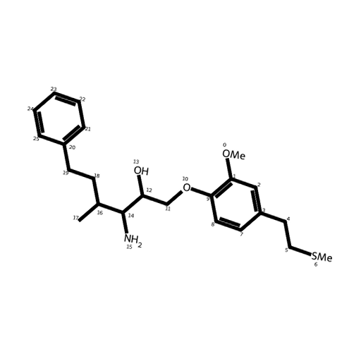 COc1cc(CCSC)ccc1OCC(O)C(N)C(C)CCc1ccccc1